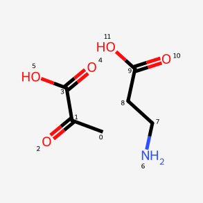 CC(=O)C(=O)O.NCCC(=O)O